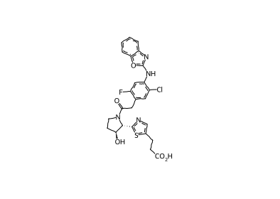 O=C(O)CCc1cnc([C@@H]2[C@@H](O)CCN2C(=O)Cc2cc(Cl)c(Nc3nc4ccccc4o3)cc2F)s1